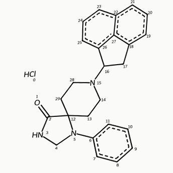 Cl.O=C1NCN(c2ccccc2)C12CCN(C1Cc3cccc4cccc1c34)CC2